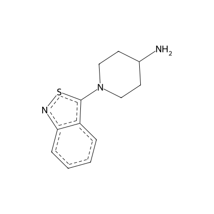 NC1CCN(c2snc3ccccc23)CC1